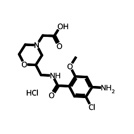 COc1cc(N)c(Cl)cc1C(=O)NCC1CN(CC(=O)O)CCO1.Cl